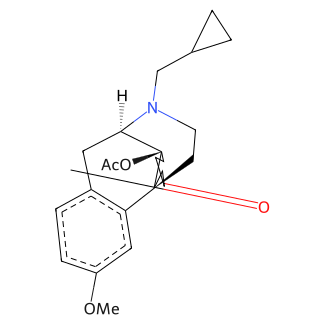 COc1ccc2c(c1)[C@]13CCN(CC4CC4)[C@H](C2)[C@]1(OC(C)=O)CCC(=O)C3